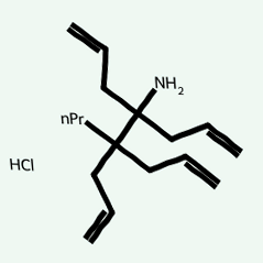 C=CCC(N)(CC=C)C(CC=C)(CC=C)CCC.Cl